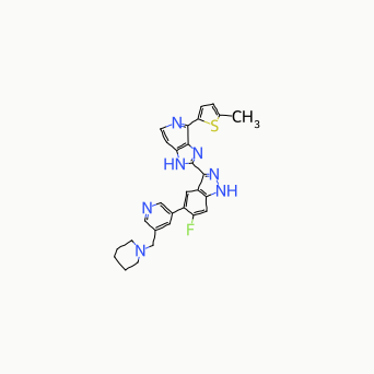 Cc1ccc(-c2nccc3[nH]c(-c4n[nH]c5cc(F)c(-c6cncc(CN7CCCCC7)c6)cc45)nc23)s1